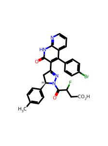 Cc1ccc([C@H]2CC(c3c(-c4ccc(Br)cc4)c4cccnc4[nH]c3=O)=NN2C(=O)C(F)CC(=O)O)cc1